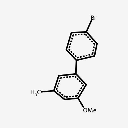 COc1cc(C)cc(-c2ccc(Br)cc2)c1